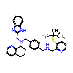 CC(C)(C)Sc1cccnc1CNCc1ccc(CN(Cc2nc3ccccc3[nH]2)C2CCCc3cccnc32)cc1